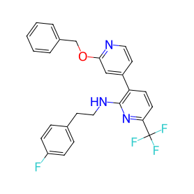 Fc1ccc(CCNc2nc(C(F)(F)F)ccc2-c2ccnc(OCc3ccccc3)c2)cc1